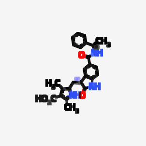 Cc1[nH]c(/C=C2\C(=O)Nc3ccc(C(=O)N[C@H](C)c4ccccc4)cc32)c(C)c1C(=O)O